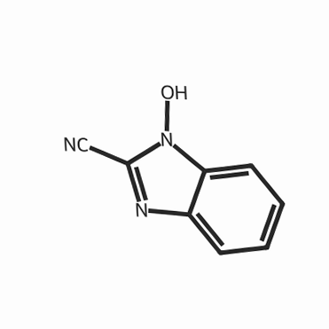 N#Cc1nc2ccccc2n1O